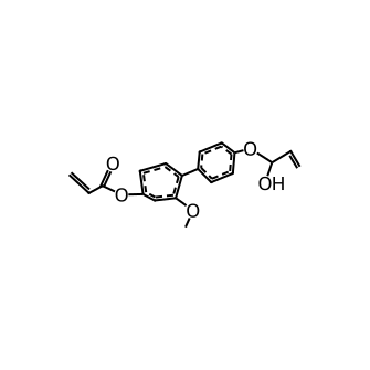 C=CC(=O)Oc1ccc(-c2ccc(OC(O)C=C)cc2)c(OC)c1